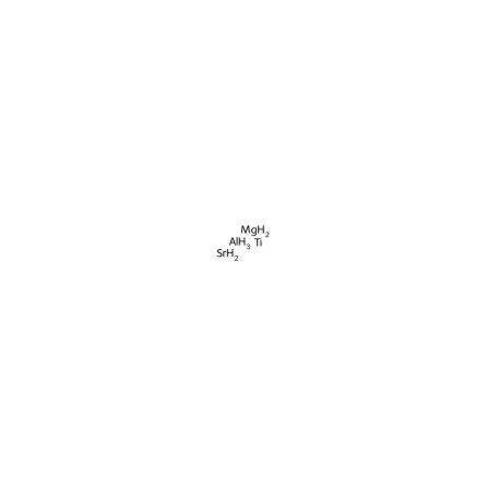 [AlH3].[MgH2].[SrH2].[Ti]